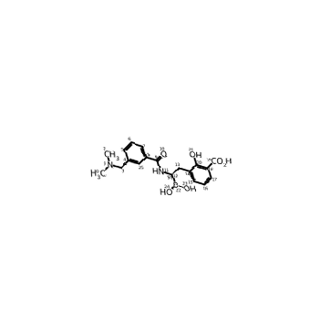 CN(C)Cc1cccc(C(=O)N[C@@H](Cc2cccc(C(=O)O)c2O)B(O)O)c1